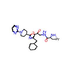 CC(C)CC(N)C(=O)NCC(=O)c1oc(C2CCN(c3ncccn3)CC2)nc1CC1CCCCC1